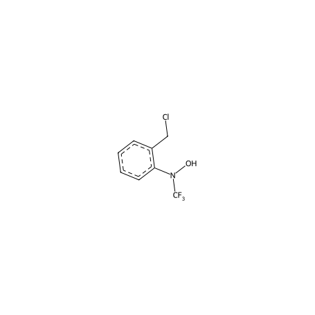 ON(c1ccccc1CCl)C(F)(F)F